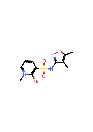 Cc1onc(NS(=O)(=O)c2ccc[n+](C)c2Br)c1C